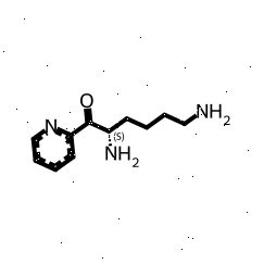 NCCCC[C@H](N)C(=O)c1ccccn1